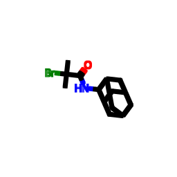 CC(C)(Br)C(=O)NC1C2CC3CC(C2)CC1C3